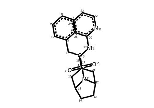 O=S(=O)(OCc1ccccc1)N1C2CCC1CC(CNc1ncccn1)C2